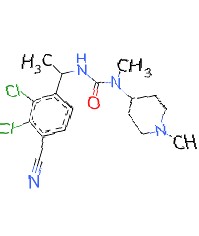 CC(NC(=O)N(C)C1CCN(C)CC1)c1ccc(C#N)c(Cl)c1Cl